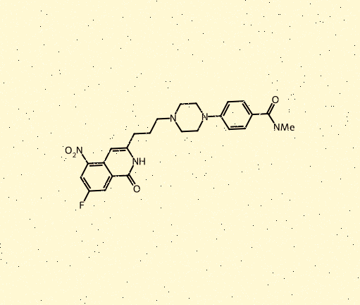 CNC(=O)c1ccc(N2CCN(CCCc3cc4c([N+](=O)[O-])cc(F)cc4c(=O)[nH]3)CC2)cc1